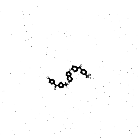 CCC(C)(Cl)c1ccc(C(=O)c2ccc(Oc3ccc4cc(OC(C)(CC)c5ccc(C(=O)c6ccc(Cl)cc6)cc5)ccc4c3)cc2)cc1